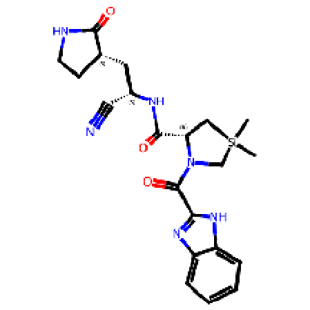 C[Si]1(C)C[C@@H](C(=O)N[C@H](C#N)C[C@@H]2CCNC2=O)N(C(=O)c2nc3ccccc3[nH]2)C1